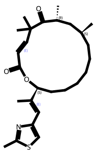 C/C(=C\c1csc(C)n1)[C@@H]1CCCCCC[C@H](C)C[C@@H](C)C(=O)C(C)(C)/C=C/C(=O)O1